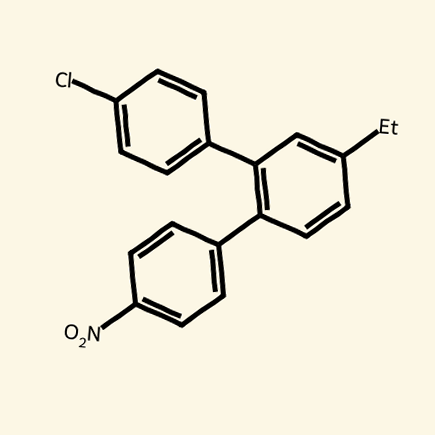 CCc1ccc(-c2ccc([N+](=O)[O-])cc2)c(-c2ccc(Cl)cc2)c1